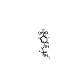 CC(C)(N)CNc1ccc(S(C)(=O)=O)cn1